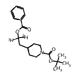 [2H]C([2H])(CC1CCN(C(=O)OC(C)(C)C)CC1)OC(=O)c1ccccc1